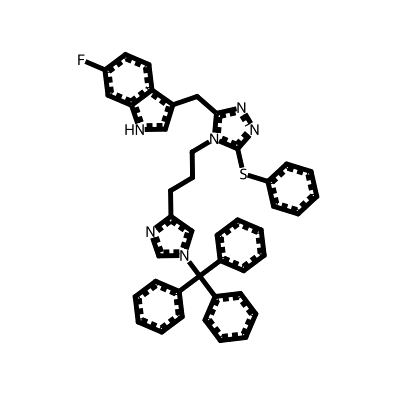 Fc1ccc2c(Cc3nnc(Sc4ccccc4)n3CCCc3cn(C(c4ccccc4)(c4ccccc4)c4ccccc4)cn3)c[nH]c2c1